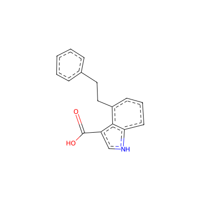 O=C(O)c1c[nH]c2cccc(CCc3ccccc3)c12